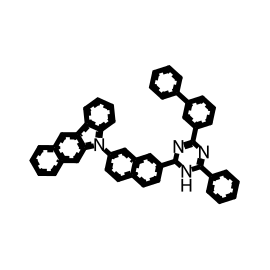 c1ccc(C2=NC(c3cccc(-c4ccccc4)c3)=NC(c3ccc4ccc(-n5c6ccccc6c6cc7ccccc7cc65)cc4c3)N2)cc1